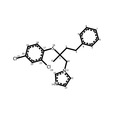 CC(CCc1ccccc1)(Cn1ccnc1)Sc1ccc(Cl)cc1Cl